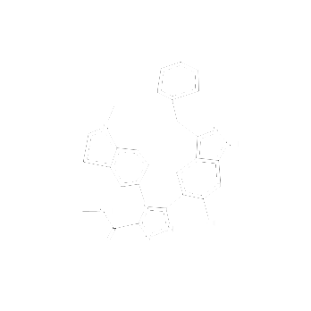 CCNC(=O)c1nnc(-c2cc3c(Cc4ccccc4)n[nH]c3cc2O)n1-c1ccc2c(ccn2C)c1